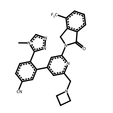 Cn1cnnc1-c1ccc(C#N)cc1-c1cc(CN2CCC2)nc(N2Cc3c(cccc3C(F)(F)F)C2=O)c1